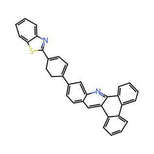 C1=C(c2ccc3cc4c5ccccc5c5ccccc5c4nc3c2)CCC(c2nc3ccccc3s2)=C1